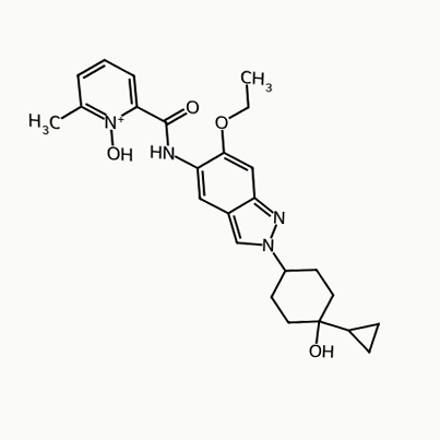 CCOc1cc2nn(C3CCC(O)(C4CC4)CC3)cc2cc1NC(=O)c1cccc(C)[n+]1O